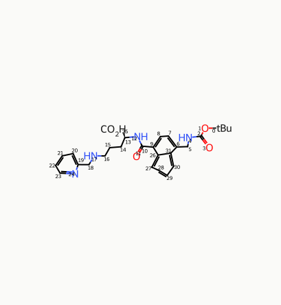 CC(C)(C)OC(=O)NCc1ccc(C(=O)N[C@@H](CCCNCc2ccccn2)C(=O)O)c2ccccc12